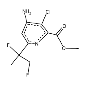 COC(=O)c1nc(C(C)(F)CF)cc(N)c1Cl